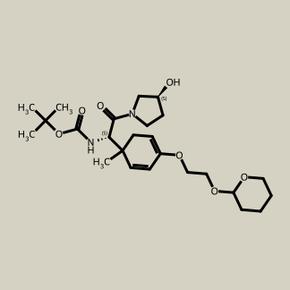 CC(C)(C)OC(=O)N[C@H](C(=O)N1CC[C@H](O)C1)C1(C)C=CC(OCCOC2CCCCO2)=CC1